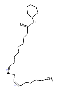 CCCCC/C=C\C/C=C\CCCCCCCC(=O)OC1CCCCC1